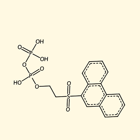 O=P(O)(O)OP(=O)(O)OCCS(=O)(=O)c1cc2ccccc2c2ccccc12